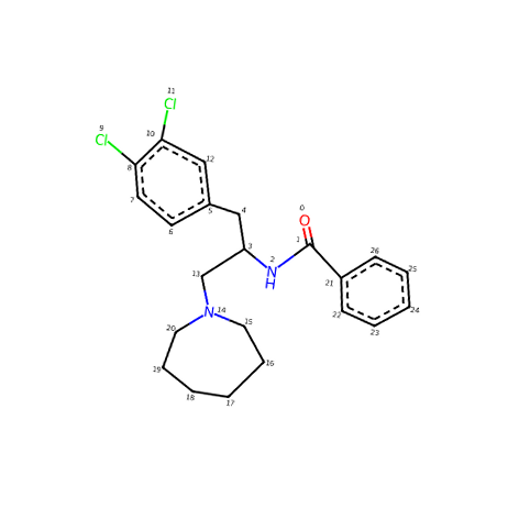 O=C(NC(Cc1ccc(Cl)c(Cl)c1)CN1CCCCCC1)c1ccccc1